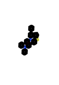 c1ccc(-c2ccc(N(c3ccccc3)c3c(-c4ccc(N(c5ccccc5)c5ccccc5)cc4)ccc4sc5ccccc5c34)cc2)cc1